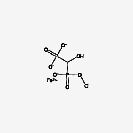 O=P([O-])([O-])C(O)P(=O)([O-])OCl.[Fe+3]